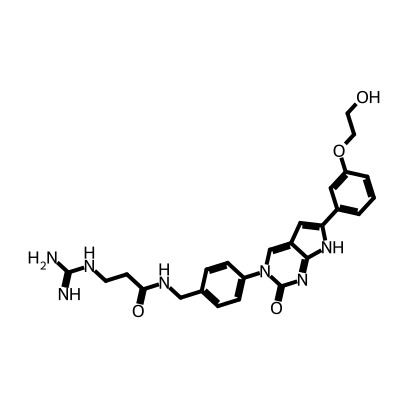 N=C(N)NCCC(=O)NCc1ccc(-n2cc3cc(-c4cccc(OCCO)c4)[nH]c3nc2=O)cc1